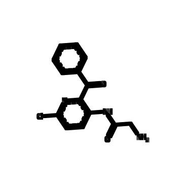 NCC(=O)Nc1ccc(Cl)nc1C(=O)c1ccccc1